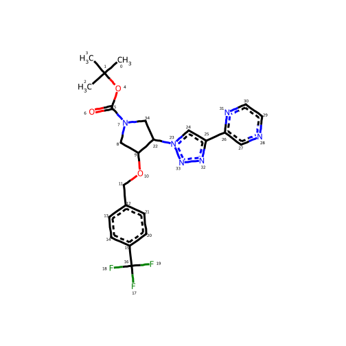 CC(C)(C)OC(=O)N1CC(OCc2ccc(C(F)(F)F)cc2)C(n2cc(-c3cnccn3)nn2)C1